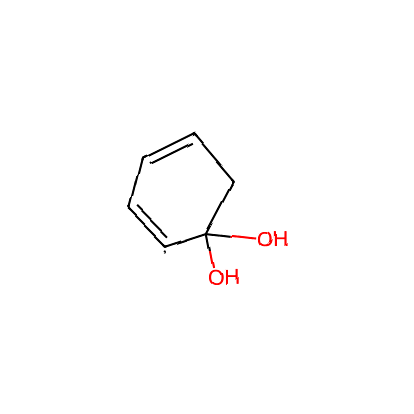 OC1(O)[C]=CC=CC1